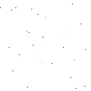 C=CCCCC(N)CN